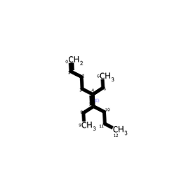 C=CCC/C(CC)=C(\CC)CCC